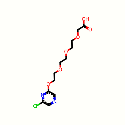 O=C(O)COCCOCCOCCOc1cncc(Cl)n1